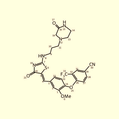 COc1cc(/C=C2\SC(NCCCN3CCNC(=O)C3)=NC2=O)ccc1Oc1ccc(C#N)cc1C(F)(F)F